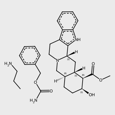 CCCN.COC(=O)[C@@H]1[C@H]2C[C@H]3c4[nH]c5ccccc5c4CCN3C[C@@H]2CC[C@@H]1O.NC(=O)OCc1ccccc1